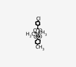 C=C(OC(=O)c1ccc(Cl)cc1)N(C)S(=O)(=O)c1ccc(C)cc1